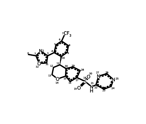 Cc1nc(-c2cc(C(F)(F)F)ccc2[C@@H]2CCOc3cc(S(=O)(=O)Nc4ccncn4)ccc32)co1